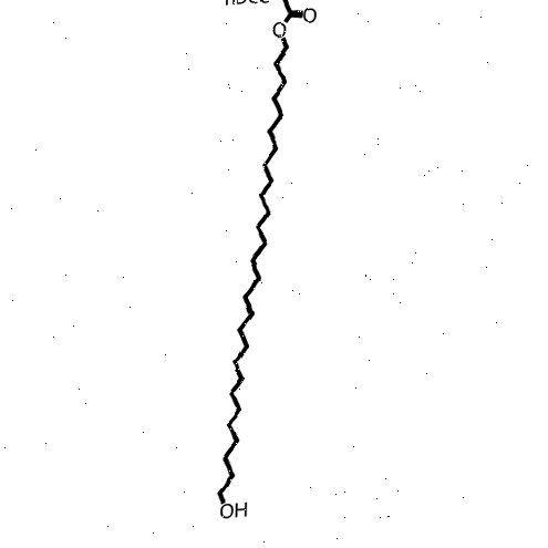 CCCCCCCCCCCC(=O)OCCCCCCCCCCCCCCCCCCCCCCCCCCCCO